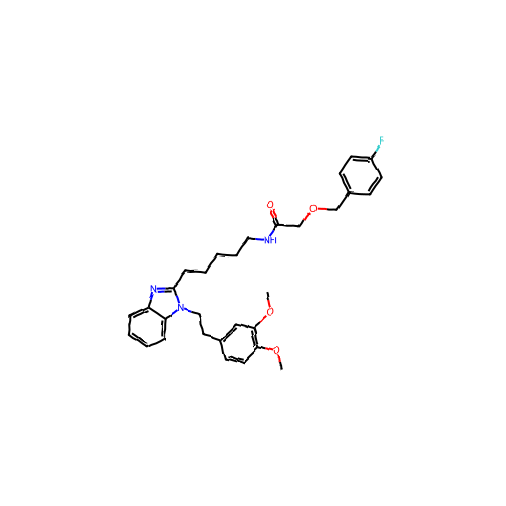 COc1ccc(CCn2c(CCCCCNC(=O)COCc3ccc(F)cc3)nc3ccccc32)cc1OC